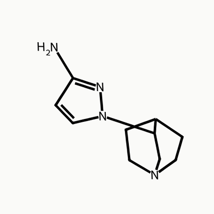 Nc1ccn(C2CN3CCC2CC3)n1